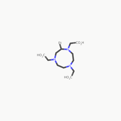 CCC1CN(CC(=O)O)CCN(CC(=O)O)CCN1CC(=O)O